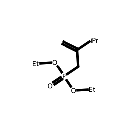 C=C(CP(=O)(OCC)OCC)C(C)C